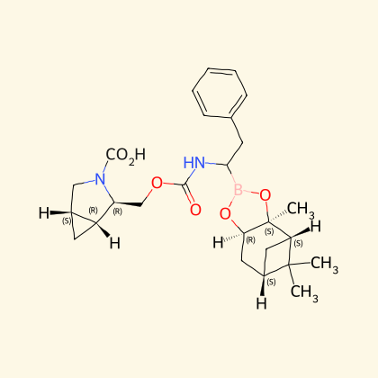 CC1(C)[C@@H]2C[C@H]3OB(C(Cc4ccccc4)NC(=O)OC[C@H]4[C@@H]5C[C@@H]5CN4C(=O)O)O[C@@]3(C)[C@H]1C2